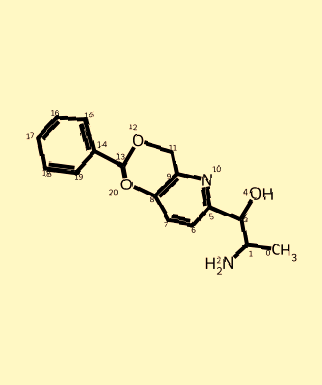 CC(N)C(O)c1ccc2c(n1)COC(c1ccccc1)O2